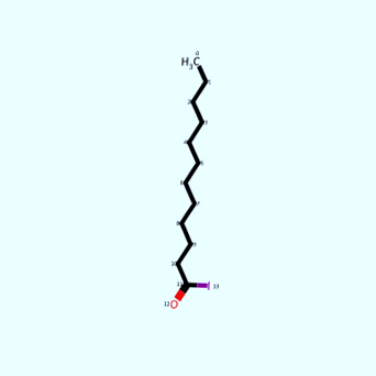 CCCCCCCCCCCC(=O)I